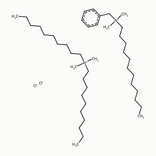 CCCCCCCCCCCC[N+](C)(C)Cc1ccccc1.CCCCCCCCCC[N+](C)(C)CCCCCCCCCC.[Cl-].[Cl-]